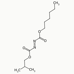 CCCCCCOC(=O)N=NC(=O)OCC(C)C